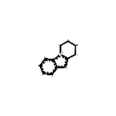 c1ccc2c(c1)cc1n2CCCC1